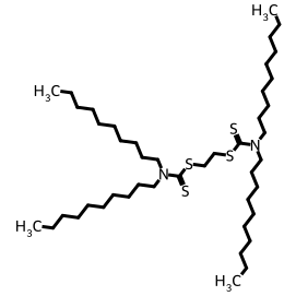 CCCCCCCCCCN(CCCCCCCCCC)C(=S)SCCSC(=S)N(CCCCCCCCCC)CCCCCCCCCC